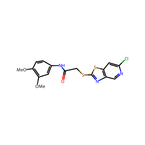 COc1ccc(NC(=O)CSc2nc3cnc(Cl)cc3s2)cc1OC